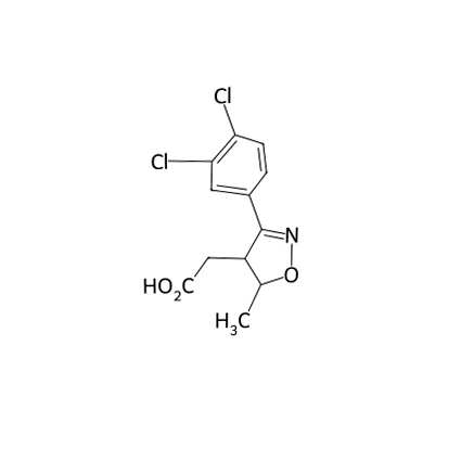 CC1ON=C(c2ccc(Cl)c(Cl)c2)C1CC(=O)O